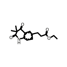 CCOC(=O)CCc1ccc2c(c1)C(=O)C(C)(C)C(=O)N2